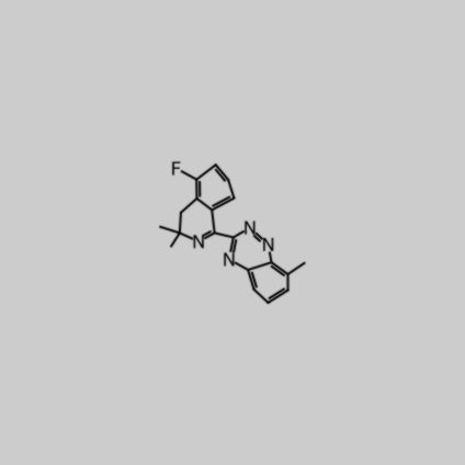 Cc1cccc2nc(C3=NC(C)(C)Cc4c(F)cccc43)nnc12